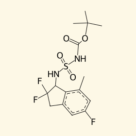 Cc1cc(F)cc2c1C(NS(=O)(=O)NC(=O)OC(C)(C)C)C(F)(F)C2